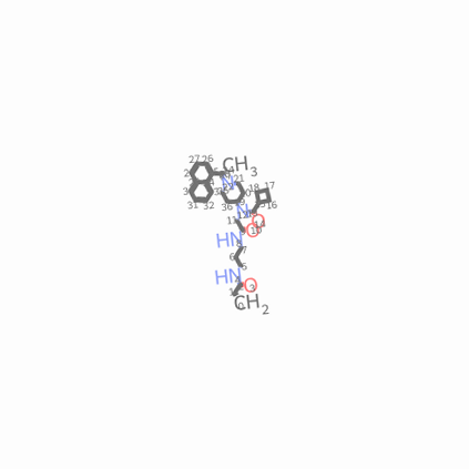 C=CC(=O)NCCCNC(=O)CN(C(=O)C1CCC1)C1CCN([C@H](C)c2cccc3ccccc23)CC1